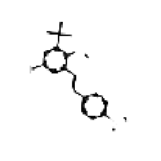 COc1c(C=Cc2ccc([N+](=O)[O-])cc2)cc(I)cc1C(C)(C)C